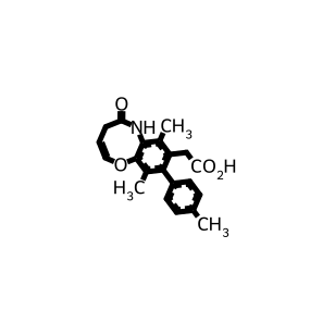 Cc1ccc(-c2c(C)c3c(c(C)c2CC(=O)O)NC(=O)C/C=C\O3)cc1